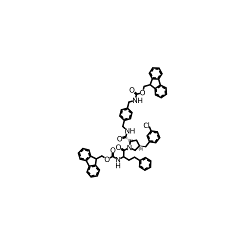 O=C(NCc1ccc(CNC(=O)[C@@H]2C[C@@H](Cc3cccc(Cl)c3)CN2C(=O)C(CCc2ccccc2)NC(=O)OCC2c3ccccc3-c3ccccc32)cc1)OCC1c2ccccc2-c2ccccc21